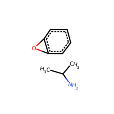 CC(C)N.c1ccc2c(c1)O2